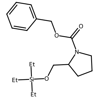 CC[Si](CC)(CC)OCC1CCCN1C(=O)OCc1ccccc1